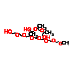 CC(O)COC(C)COC(C)CO.COCCOCCOCCOCCOCCOCCOCCO